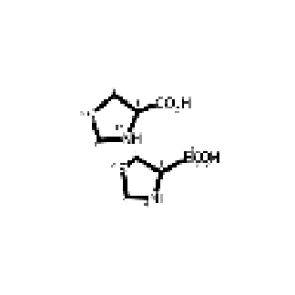 O.O=C(O)C1CSCN1.O=C(O)C1CSCN1